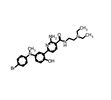 CCN(CC)CCNC(=O)c1ccc(-c2cc(N(C)c3ccc(Br)cc3)ccc2O)nc1N